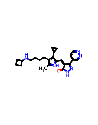 Cc1[nH]c(C=C2C(=O)NN=C2c2ccnnc2)c(C2CC2)c1CCCCNC1CCC1